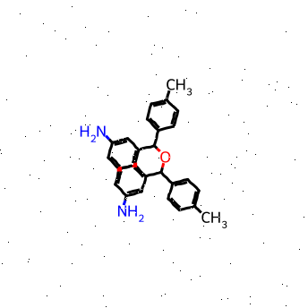 Cc1ccc(C(OC(c2ccc(C)cc2)c2cccc(N)c2)c2cccc(N)c2)cc1